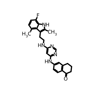 Cc1[nH]c2c(F)ccc(C)c2c1CCNc1cc(Nc2ccc3c(c2)CCCC3=O)ncn1